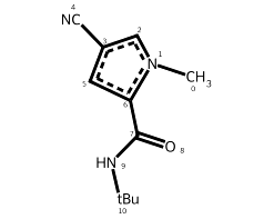 Cn1cc(C#N)cc1C(=O)NC(C)(C)C